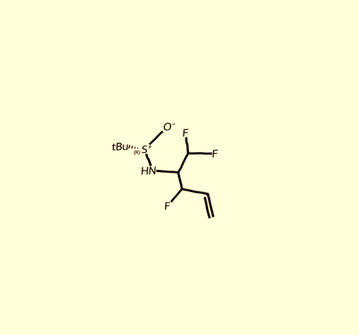 C=CC(F)C(N[S@@+]([O-])C(C)(C)C)C(F)F